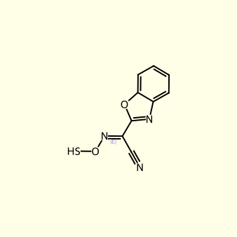 N#C/C(=N\OS)c1nc2ccccc2o1